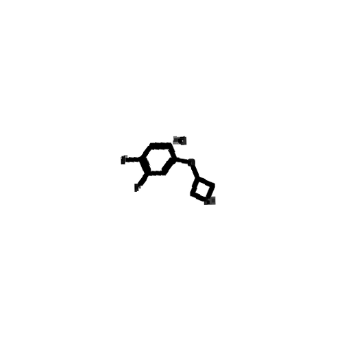 Cl.Fc1ccc(OC2CNC2)cc1F